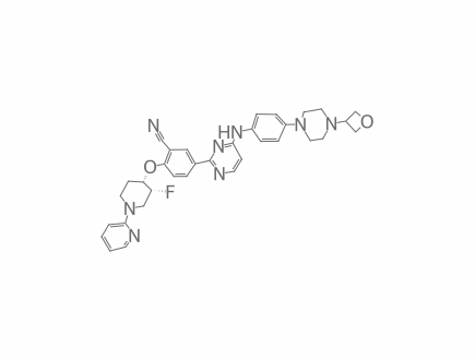 N#Cc1cc(-c2nccc(Nc3ccc(N4CCN(C5COC5)CC4)cc3)n2)ccc1O[C@H]1CCN(c2ccccn2)C[C@H]1F